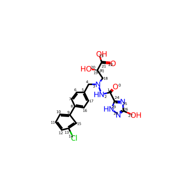 O=C(NN(Cc1ccc(-c2cccc(Cl)c2)cc1)C[C@@H](O)C(=O)O)c1nc(O)n[nH]1